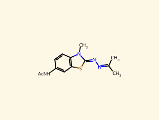 CC(=O)Nc1ccc2c(c1)sc(=NN=C(C)C)n2C